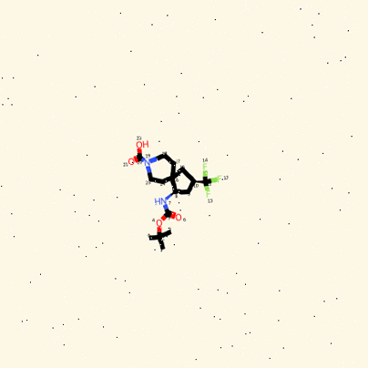 CC(C)(C)OC(=O)N[C@@H]1C[C@H](C(F)(F)F)CC12CCN(C(=O)O)CC2